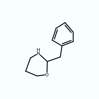 c1ccc(CC2NCCCO2)cc1